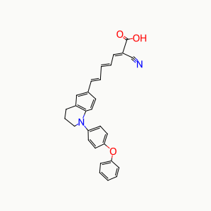 N#C\C(=C/C=C/C=C/c1ccc2c(c1)CCCN2c1ccc(Oc2ccccc2)cc1)C(=O)O